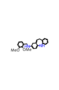 COc1cccc(CNC2=CC=C3Nc4ccccc4CC=C3C2)c1OC